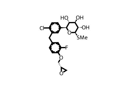 CS[C@H]1O[C@@H](c2ccc(Cl)c(Cc3ccc(OC[C@@H]4CO4)c(F)c3)c2)[C@H](O)[C@@H](O)[C@@H]1O